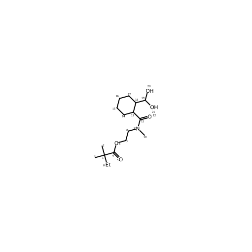 CCC(C)(C)C(=O)OCCN(C)C(=O)C1CCCCC1C(O)O